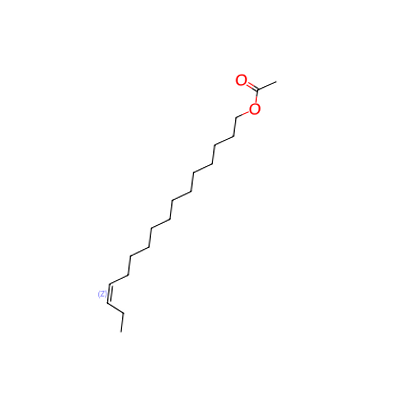 CC/C=C\CCCCCCCCCCCCOC(C)=O